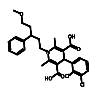 COCCC(CCN1C(C)=C(C(=O)O)C(c2cccc(Cl)c2Cl)C(C(=O)O)=C1C)c1ccccc1